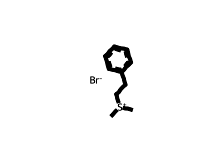 C[S+](C)CCc1ccccc1.[Br-]